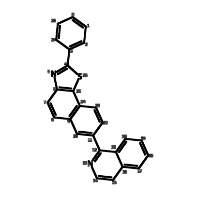 c1ccc(-c2nc3ccc4cc(-c5nccc6ccccc56)ccc4c3s2)cc1